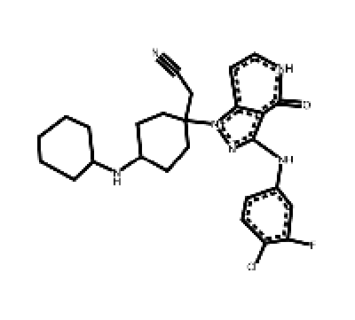 N#CCC1(n2nc(Nc3ccc(Cl)c(F)c3)c3c(=O)[nH]ccc32)CCC(NC2CCCCC2)CC1